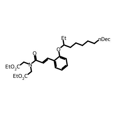 CCCCCCCCCCCCCCCC(CC)Oc1ccccc1C=CC(=O)N(CC(=O)OCC)CC(=O)OCC